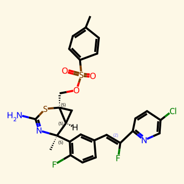 Cc1ccc(S(=O)(=O)OC[C@]23C[C@H]2[C@@](C)(c2cc(/C=C(\F)c4ccc(Cl)cn4)ccc2F)N=C(N)S3)cc1